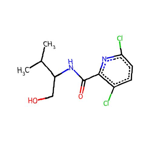 CC(C)C(CO)NC(=O)c1nc(Cl)ccc1Cl